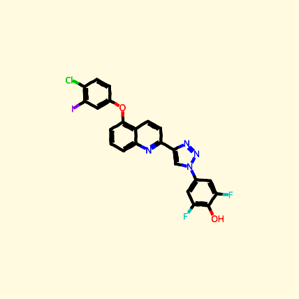 Oc1c(F)cc(-n2cc(-c3ccc4c(Oc5ccc(Cl)c(I)c5)cccc4n3)nn2)cc1F